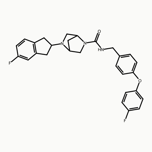 O=C(NCc1ccc(Oc2ccc(F)cc2)cc1)N1CC2CC1CN2C1Cc2ccc(F)cc2C1